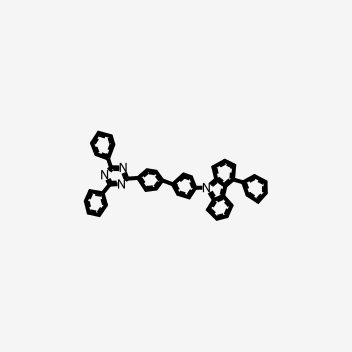 c1ccc(-c2nc(-c3ccccc3)nc(-c3ccc(-c4ccc(-n5c6ccccc6c6c(-c7ccccc7)cccc65)cc4)cc3)n2)cc1